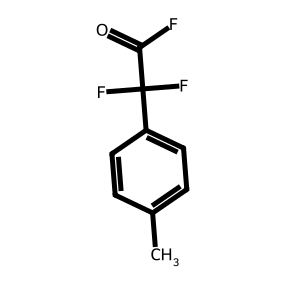 Cc1ccc(C(F)(F)C(=O)F)cc1